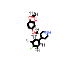 [2H]c1c([2H])c(C2CCNC[C@H]2C([2H])([2H])Oc2ccc3c(c2)OC([2H])([2H])O3)c([2H])c([2H])c1F